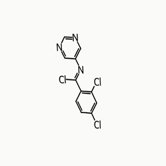 ClC(=Nc1cncnc1)c1ccc(Cl)cc1Cl